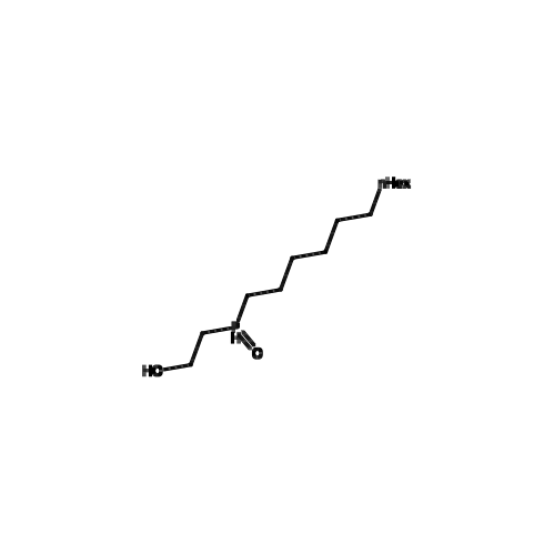 CCCCCCCCCCCC[PH](=O)CCO